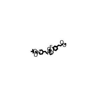 COC(=O)CCc1ccc(N2CCN(CCC3CCN(C(=O)OC(C)(C)C)CC3)C2=O)c(F)c1